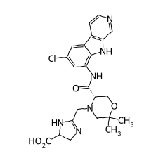 CC1(C)CN(CC2=NCC(C(=O)O)N2)[C@H](C(=O)Nc2cc(Cl)cc3c2[nH]c2cnccc23)CO1